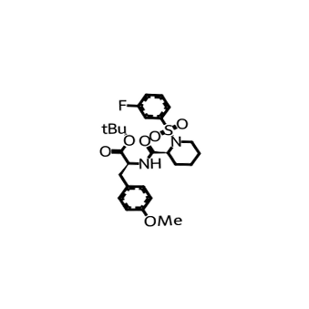 COc1ccc(C[C@H](NC(=O)[C@@H]2CCCCN2S(=O)(=O)c2cccc(F)c2)C(=O)OC(C)(C)C)cc1